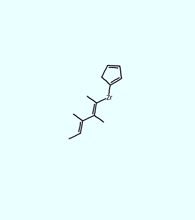 C/C=C(C)/C(C)=[C](\C)[Zr][C]1=CC=CC1